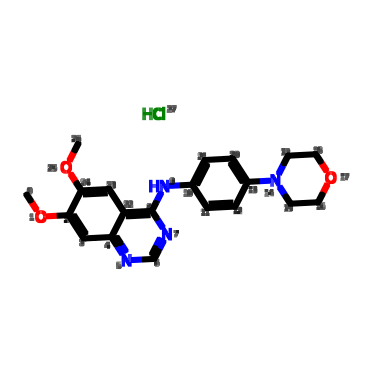 COc1cc2ncnc(Nc3ccc(N4CCOCC4)cc3)c2cc1OC.Cl